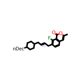 CCCCCCCCCCC1CCC(C/C=C/Cc2ccc3cc(C)oc(=O)c3c2F)CC1